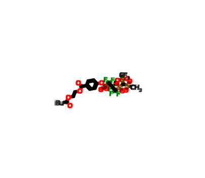 CCC(C)C(=O)OCCOC(=O)c1ccc(OS(=O)(=O)C(F)(F)C(F)(F)C(F)(F)S(=O)(=O)C(S(C)(=O)=O)S(=O)(=O)C(F)(F)F)cc1